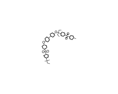 CCC(C)(C)c1ccc(S(=O)(=O)c2ccc(Oc3ccc(-c4ccc(OC(CC)(CC)c5ccc(S(=O)(=O)c6ccc(C)cc6)cc5)cc4)cc3)cc2)cc1